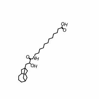 O=C(O)CCCCCCCCCCCNC(=O)C(O)CC12CC3CCCC(C1)C(C3)C2